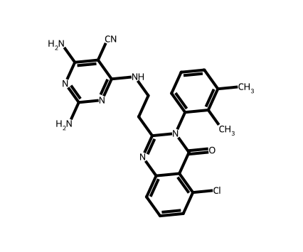 Cc1cccc(-n2c(CCNc3nc(N)nc(N)c3C#N)nc3cccc(Cl)c3c2=O)c1C